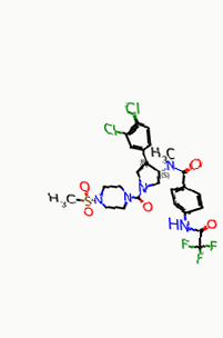 CN(C(=O)c1ccc(NC(=O)C(F)(F)F)cc1)[C@@H]1CN(C(=O)N2CCN(S(C)(=O)=O)CC2)C[C@H]1c1ccc(Cl)c(Cl)c1